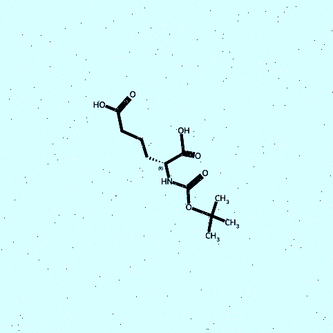 CC(C)(C)OC(=O)N[C@H](CCCC(=O)O)C(=O)O